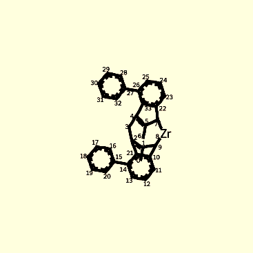 CC1=C2CC3=C(C)[CH]([Zr][CH]1c1cccc(-c4ccccc4)c12)c1cccc(-c2ccccc2)c13